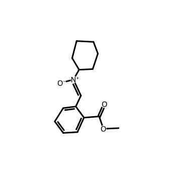 COC(=O)c1ccccc1C=[N+]([O-])C1CCCCC1